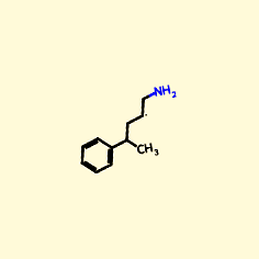 CC(C[CH]CN)c1ccccc1